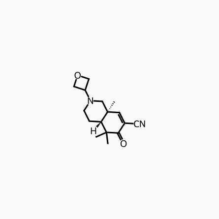 CC1(C)C(=O)C(C#N)=C[C@]2(C)CN(C3COC3)CC[C@@H]12